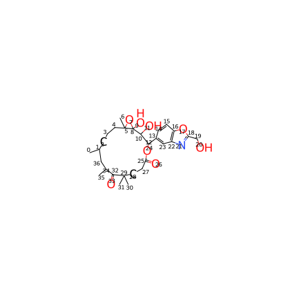 CC1CCCC2(C)OC2(O)C(O)C(c2ccc3oc(CO)nc3c2)OC(=O)CCC(C)(C)C(=O)C(C)C1